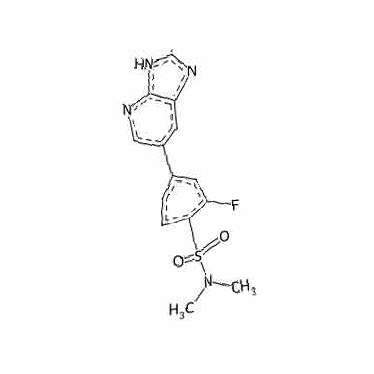 CN(C)S(=O)(=O)c1ccc(-c2cnc3[nH][c]nc3c2)cc1F